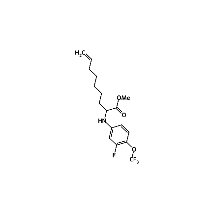 C=CCCCCCC(Nc1ccc(OC(F)(F)F)c(F)c1)C(=O)OC